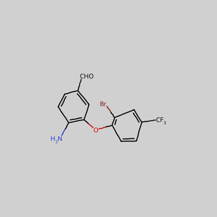 Nc1ccc(C=O)cc1Oc1ccc(C(F)(F)F)cc1Br